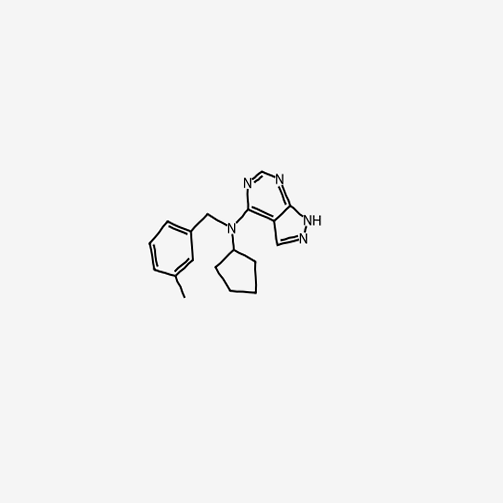 Cc1cccc(CN(c2ncnc3[nH]ncc23)C2CCCC2)c1